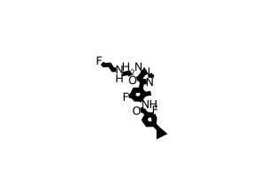 Cc1c(NC(=O)c2ccc(C3CC3)cc2F)cc(F)cc1-c1ncnc(N)c1OCCNCCCF